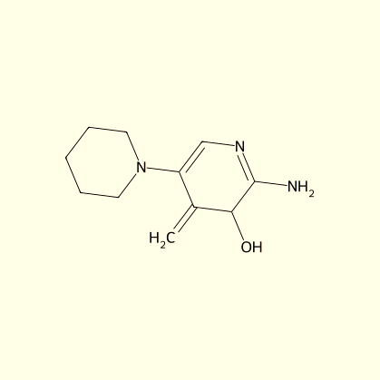 C=C1C(N2CCCCC2)=CN=C(N)C1O